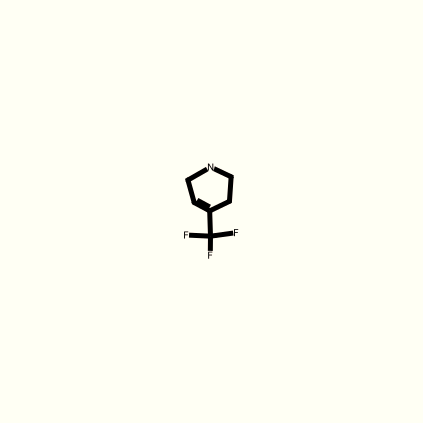 FC(F)(F)C1=CC[N]CC1